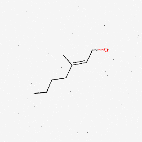 CCCC/C(C)=C/C[O]